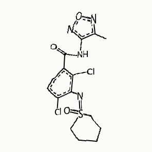 Cc1nonc1NC(=O)c1ccc(Cl)c(N=S2(=O)CCCCC2)c1Cl